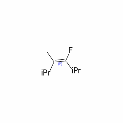 C/C(=C(\F)C(C)C)C(C)C